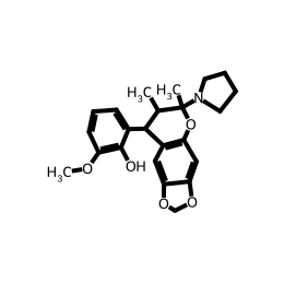 COc1cccc(C2c3cc4c(cc3OC(C)(N3CCCC3)C2C)OCO4)c1O